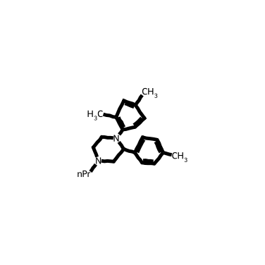 CCCN1CCN(c2ccc(C)cc2C)C(c2ccc(C)cc2)C1